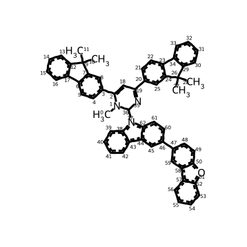 CN1C(c2ccc3c(c2)C(C)(C)c2ccccc2-3)=CC(c2ccc3c(c2)C(C)(C)c2ccccc2-3)=NC1n1c2ccccc2c2cc(-c3ccc4oc5ccccc5c4c3)ccc21